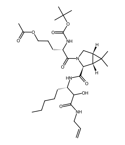 C=CCNC(=O)C(O)[C@H](CCCCC)NC(=O)[C@@H]1[C@@H]2[C@H](CN1C(=O)[C@H](CCCOC(C)=O)NC(=O)OC(C)(C)C)C2(C)C